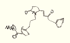 COC(=O)c1ccc(CCCN2C(=O)CCC2/C=C/C(=O)Cc2ccccc2)s1